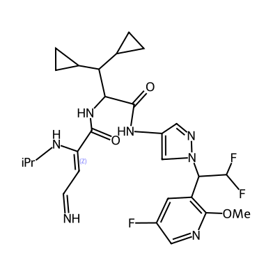 COc1ncc(F)cc1C(C(F)F)n1cc(NC(=O)C(NC(=O)/C(=C/C=N)NC(C)C)C(C2CC2)C2CC2)cn1